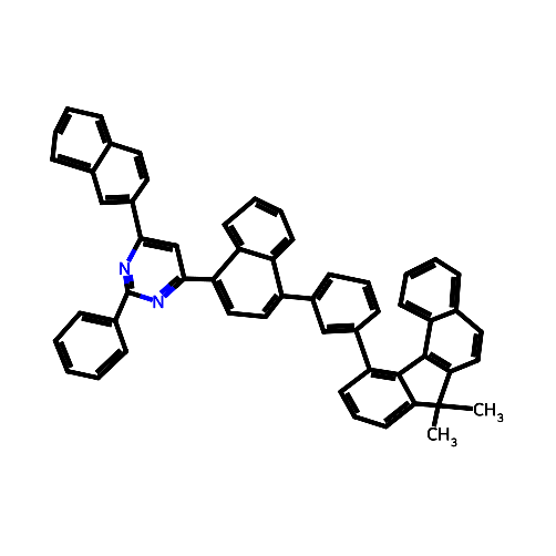 CC1(C)c2cccc(-c3cccc(-c4ccc(-c5cc(-c6ccc7ccccc7c6)nc(-c6ccccc6)n5)c5ccccc45)c3)c2-c2c1ccc1ccccc21